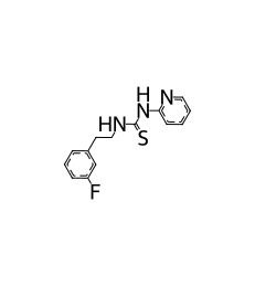 Fc1cccc(CCNC(=S)Nc2ccccn2)c1